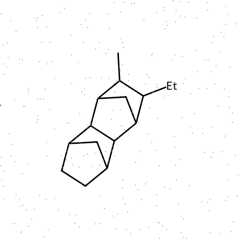 CCC1C(C)C2CC1C1C3CCC(C3)C21